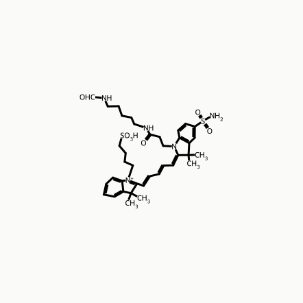 CC1(C)C(/C=C/C=C/C=C2\N(CCC(=O)NCCCCCNC=O)c3ccc(S(N)(=O)=O)cc3C2(C)C)=[N+](CCCCS(=O)(=O)O)c2ccccc21